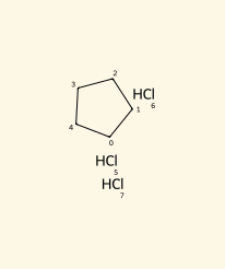 C1CCCC1.Cl.Cl.Cl